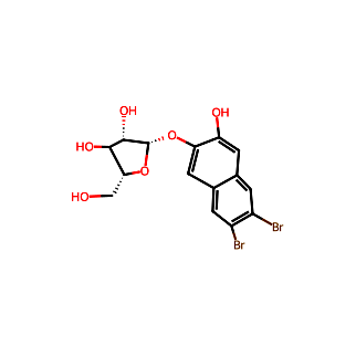 OC[C@H]1O[C@@H](Oc2cc3cc(Br)c(Br)cc3cc2O)[C@@H](O)C1O